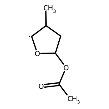 CC(=O)OC1CC(C)[CH]O1